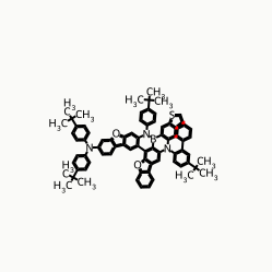 CC(C)(C)c1ccc(N2B3c4cc5sccc5cc4N(c4ccc(C(C)(C)C)cc4-c4ccccc4)c4cc5c(oc6ccccc65)c(c43)-c3cc4c(cc32)oc2cc(N(c3ccc(C(C)(C)C)cc3)c3ccc(C(C)(C)C)cc3)ccc24)cc1